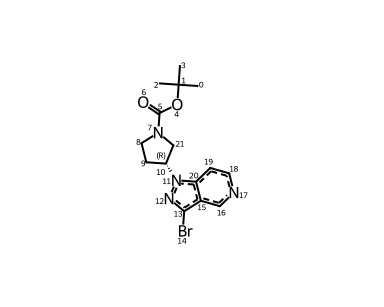 CC(C)(C)OC(=O)N1CC[C@@H](n2nc(Br)c3cnccc32)C1